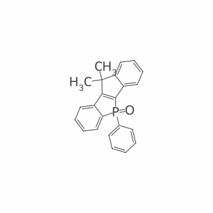 CC1(C)C2=C(c3ccccc31)P(=O)(c1ccccc1)c1ccccc12